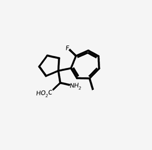 CC1=CC=C=C(F)C(C2(C(N)C(=O)O)CCCC2)=C1